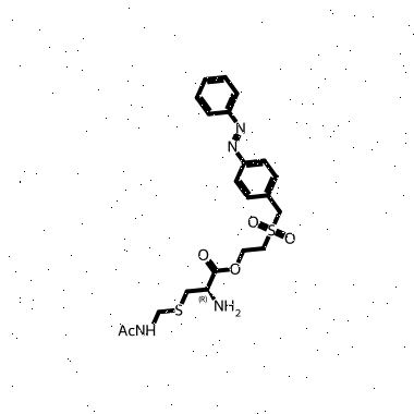 CC(=O)NCSC[C@H](N)C(=O)OCCS(=O)(=O)Cc1ccc(N=Nc2ccccc2)cc1